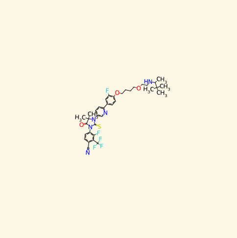 CC(NCCOCCCCOc1ccc(-c2ccc(N3C(=S)N(c4ccc(C#N)c(C(F)(F)F)c4F)C(=O)C3(C)C)cn2)cc1F)C(C)(C)C